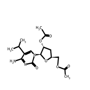 CC(=O)OC[C@@H]1C[C@@H](OC(C)=O)[C@H](n2cc(C(C)C)c(N)nc2=O)O1